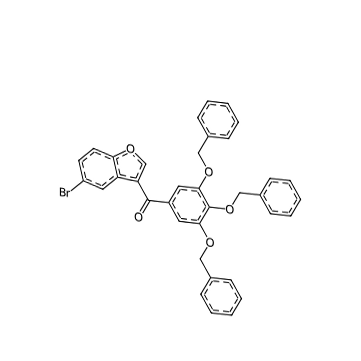 O=C(c1cc(OCc2ccccc2)c(OCc2ccccc2)c(OCc2ccccc2)c1)c1coc2ccc(Br)cc12